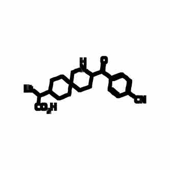 CCC(C(=O)O)C1CCC2(CCC(C(=O)c3ccc(C#N)cc3)NC2)CC1